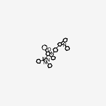 C1=CCc2c(oc3c2cc(-c2nc(-c4ccccc4)nc(-c4ccccc4)n2)c2c4ccccc4n(-c4ccc(-c5ccc6c7ccccc7n(-c7ccccc7)c6c5)cc4)c32)C=C1